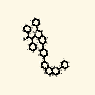 N=C(/C(=C1\NC(c2ccccc2)=Cc2ccc(-c3ccc(-c4ccc5ccc6ccc(-c7ccccc7)nc6c5n4)cc3)cc21)c1ccccc1)c1ccccc1